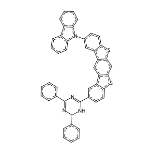 c1ccc(C2=NC(c3ccccc3)NC(c3ccc4sc5cc6sc7ccc(-n8c9ccccc9c9ccccc98)cc7c6cc5c4c3)=N2)cc1